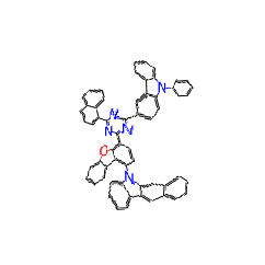 c1ccc(-n2c3ccccc3c3cc(-c4nc(-c5cccc6ccccc56)nc(-c5ccc(-n6c7ccccc7c7cc8ccccc8cc76)c6c5oc5ccccc56)n4)ccc32)cc1